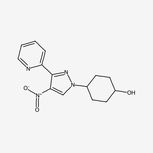 O=[N+]([O-])c1cn(C2CCC(O)CC2)nc1-c1ccccn1